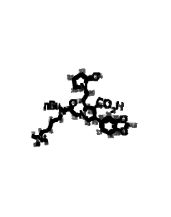 CCCCN(CCCC[N+](C)(C)C)C(=O)CN1C[C@H](c2ccc3c(c2)OCO3)[C@@H](C(=O)O)[C@@H]1CCN1CCCC1=O